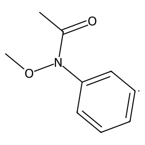 CON(C(C)=O)c1c[c]ccc1